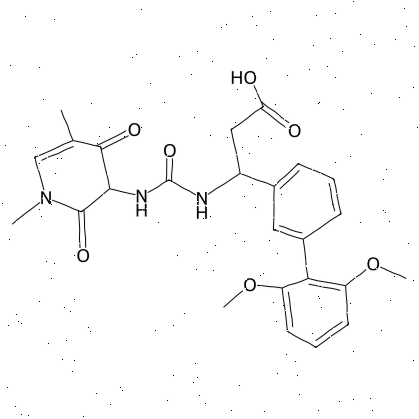 COc1cccc(OC)c1-c1cccc(C(CC(=O)O)NC(=O)NC2C(=O)C(C)=CN(C)C2=O)c1